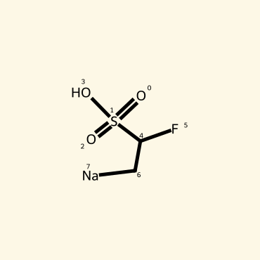 O=S(=O)(O)C(F)[CH2][Na]